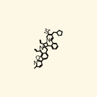 C=CC1=NC2(Cc3ccc4c(oc5nc(C)ccc54)c31)C(C=C)C1C2c2ccccc2-c2cc(CC3CCCC3)c([Si](C)(C)C)c[n+]21